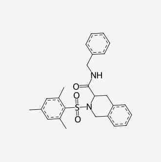 Cc1cc(C)c(S(=O)(=O)N2Cc3ccccc3CC2C(=O)NCc2ccccc2)c(C)c1